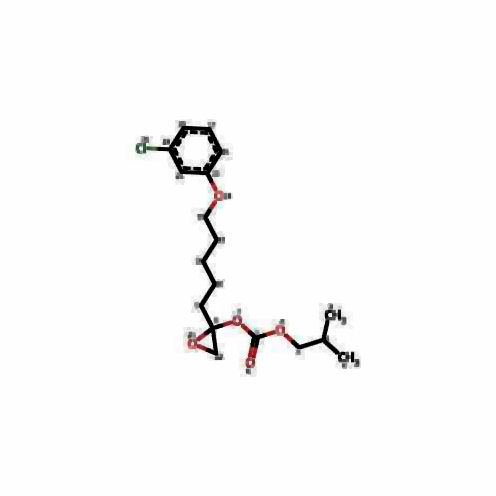 CC(C)COC(=O)OC1(CCCCCOc2cccc(Cl)c2)CO1